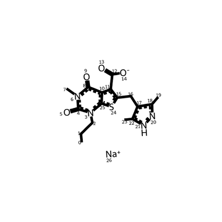 CCCn1c(=O)n(C)c(=O)c2c(C(=O)[O-])c(Cc3c(C)n[nH]c3C)sc21.[Na+]